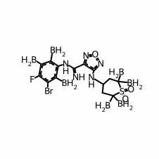 Bc1c(B)c(NC(=N)c2nonc2NC2CC(B)(B)S(=O)(=O)C(B)(B)C2)c(B)c(Br)c1F